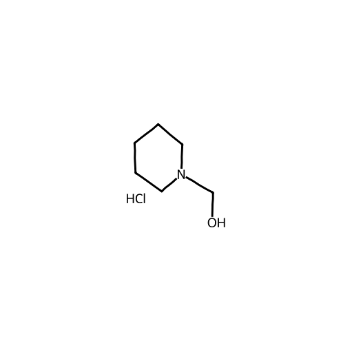 Cl.OCN1CCCCC1